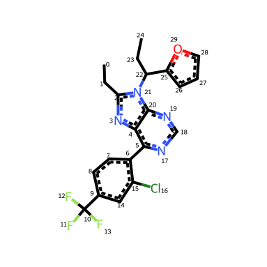 CCc1nc2c(-c3ccc(C(F)(F)F)cc3Cl)ncnc2n1C(CC)c1ccco1